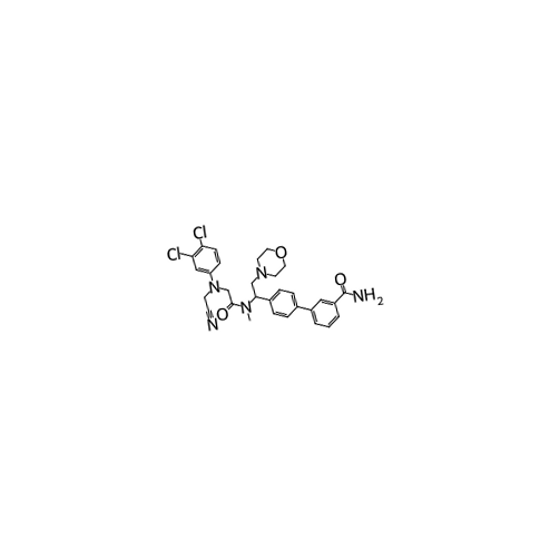 CN(C(=O)CN(CC#N)c1ccc(Cl)c(Cl)c1)C(CN1CCOCC1)c1ccc(-c2cccc(C(N)=O)c2)cc1